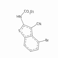 CCOC(=O)Nc1sc2cccc(Br)c2c1C#N